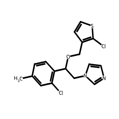 Cc1ccc(C(Cn2ccnc2)OCc2ccsc2Cl)c(Cl)c1